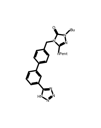 CCCCCc1nn(C(C)CC)c(=O)n1Cc1ccc(-c2cccc(-c3nnn[nH]3)c2)cc1